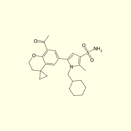 CC(=O)c1cc(-c2cc(S(N)(=O)=O)c(C)n2CC2CCCCC2)cc2c1OCCC21CC1